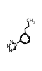 CCCc1cccc(-n2cnnn2)c1